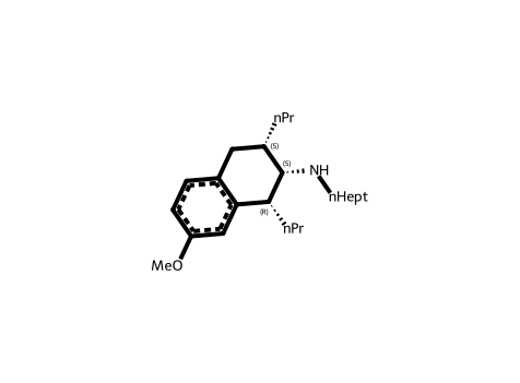 CCCCCCCN[C@H]1[C@@H](CCC)Cc2ccc(OC)cc2[C@H]1CCC